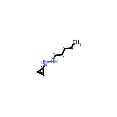 CCCCCNNC1C=C1